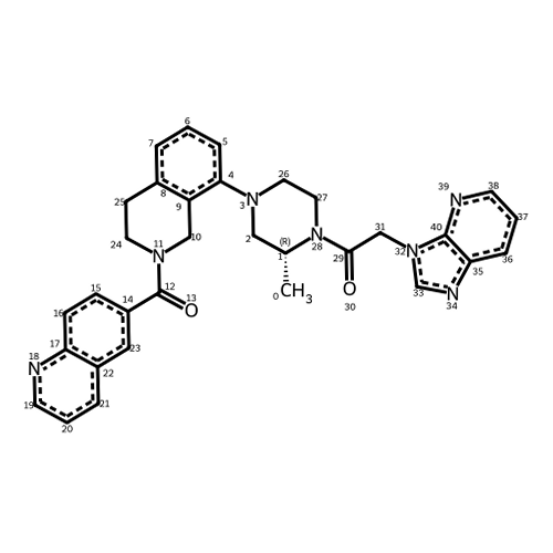 C[C@@H]1CN(c2cccc3c2CN(C(=O)c2ccc4ncccc4c2)CC3)CCN1C(=O)Cn1cnc2cccnc21